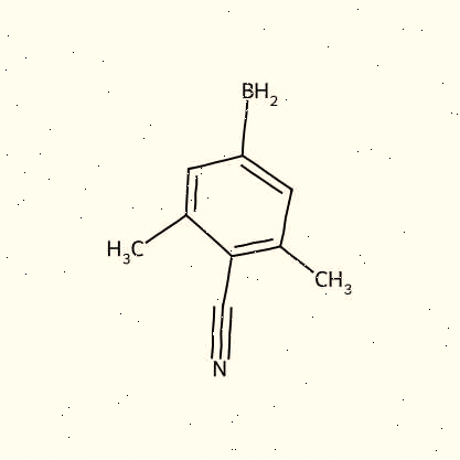 Bc1cc(C)c(C#N)c(C)c1